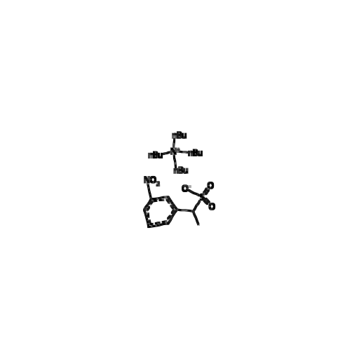 CC(c1cccc([N+](=O)[O-])c1)S(=O)(=O)[O-].CCCC[N+](CCCC)(CCCC)CCCC